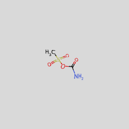 CS(=O)(=O)OC(N)=O